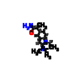 C=C(C(N)=O)c1ccc2c(c1)cc(N(C)C)n2CC